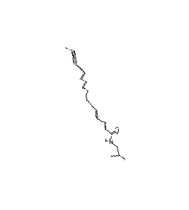 CC=CC=CC=CCCC=CC=CC(=O)NCC(C)C